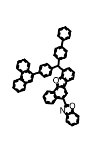 c1ccc(-c2ccc(C(c3ccc(-c4cc5ccccc5c5ccccc45)cc3)c3cccc4c3oc3c5ccccc5c(-c5nc6ccccc6o5)cc43)cc2)cc1